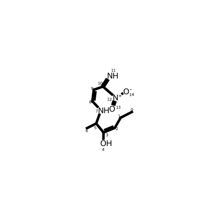 CC/C=C(/O)C(C)N/C=C\C(=N)[N+](=O)[O-]